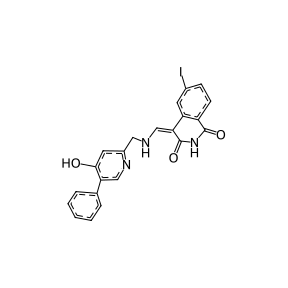 O=C1NC(=O)c2ccc(I)cc2C1=CNCc1cc(O)c(-c2ccccc2)cn1